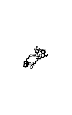 CCC(CCCC(C)(CCCC(C)(C)C(=O)OC12CC3CC(CC(CCCO)(C3)C1)C2)C(=O)OC(C)CC(C)(O)C(F)(F)F)c1ccccc1